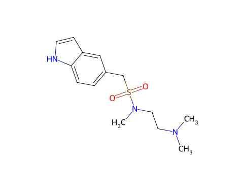 CN(C)CCN(C)S(=O)(=O)Cc1ccc2[nH]ccc2c1